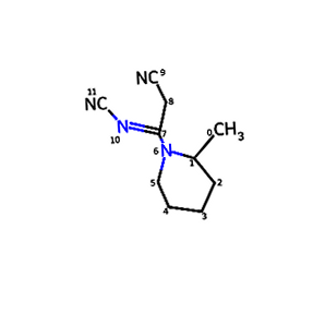 CC1CCCCN1/C(CC#N)=N/C#N